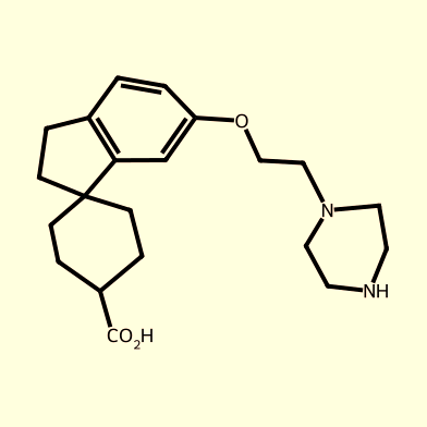 O=C(O)C1CCC2(CCc3ccc(OCCN4CCNCC4)cc32)CC1